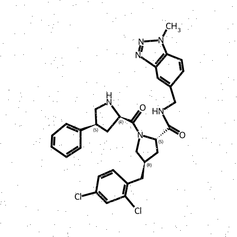 Cn1nnc2cc(CNC(=O)[C@@H]3C[C@@H](Cc4ccc(Cl)cc4Cl)CN3C(=O)[C@H]3C[C@@H](c4ccccc4)CN3)ccc21